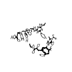 CCNc1nc(Cl)nc(NCC)n1.CCOC(=O)C(Cl)Cc1cc(-n2nc(C)n(C(F)F)c2=O)c(F)cc1Cl.O=C(O)CNCP(=O)(O)O